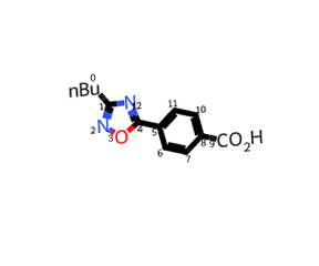 CCCCc1noc(-c2ccc(C(=O)O)cc2)n1